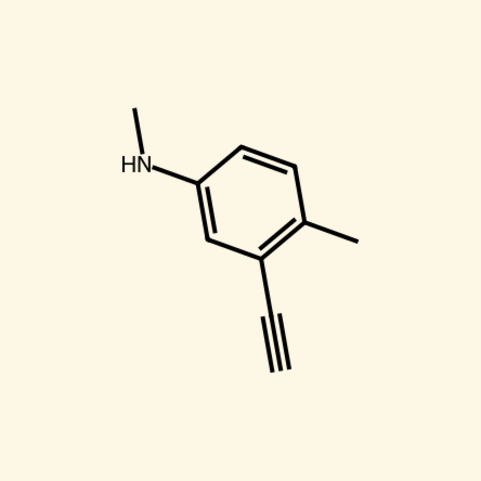 C#Cc1cc(NC)ccc1C